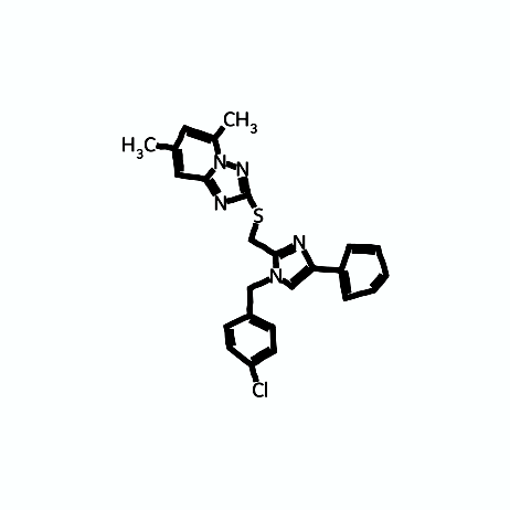 Cc1cc(C)n2nc(SCc3nc(-c4ccccc4)cn3Cc3ccc(Cl)cc3)nc2c1